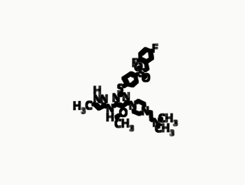 CCOc1c(Nc2cc(C)[nH]n2)nc(Sc2ccc(S(=O)(=O)Cc3cc(F)ccc3F)cc2)nc1N1CCN(CCN(C)C)CC1